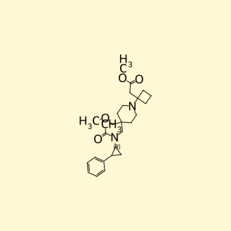 COCC1(CN(C(C)=O)[C@@H]2CC2c2ccccc2)CCN(C2(CC(=O)OC)CCC2)CC1